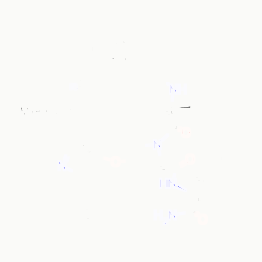 C=C[C@@H]1C[C@]1(NC(=O)[C@@H]1CC2CN1C(=O)[C@H](C1CCCCC1)NCCCC(C)(C)C/C=C\c1cc3c(cc(-c4ccccc4)nc3cc1OC)O2)C(N)=O